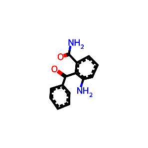 NC(=O)c1cccc(N)c1C(=O)c1ccccc1